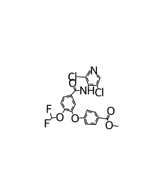 COC(=O)c1ccc(Oc2cc(C(=O)Nc3c(Cl)cncc3Cl)ccc2OC(F)F)cc1